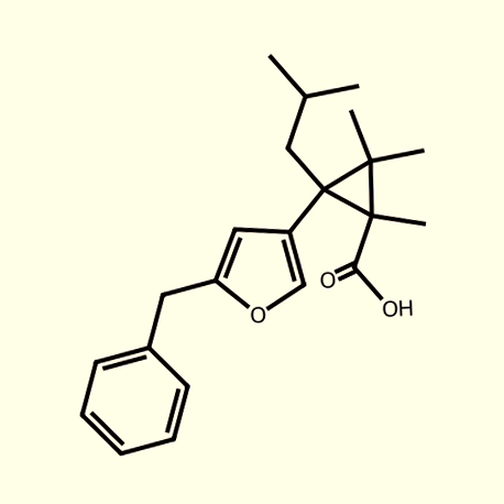 CC(C)CC1(c2coc(Cc3ccccc3)c2)C(C)(C)C1(C)C(=O)O